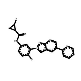 O=C(Nc1ccc(F)c(-n2cc3cc(-c4ccccn4)cnc3n2)c1)C1CC1F